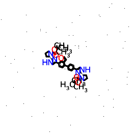 CC(C)(C)OC(=O)N1CCC[C@H]1c1nc(-c2ccc(-c3ccc(-c4c[nH]c([C@@H]5CCCN5C(=O)OC(C)(C)C)n4)c4occc34)cc2)c[nH]1